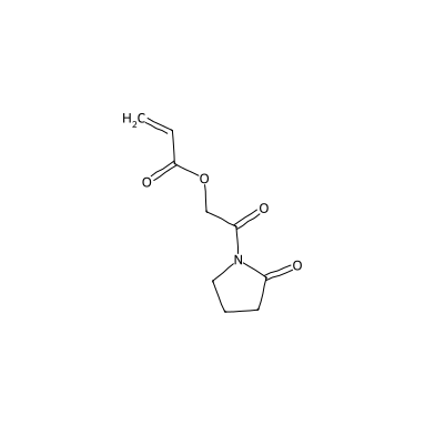 C=CC(=O)OCC(=O)N1CCCC1=O